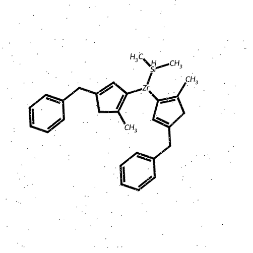 CC1=[C]([Zr]([C]2=C(C)CC(Cc3ccccc3)=C2)[SiH](C)C)C=C(Cc2ccccc2)C1